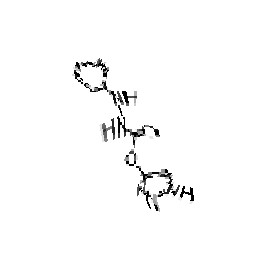 O=C(NNc1ccccc1)Oc1c[nH]nn1